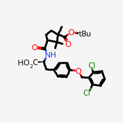 CC(C)(C)OC(=O)C1(C)CCC(C(=O)N[C@@H](Cc2ccc(OCc3c(Cl)cccc3Cl)cc2)C(=O)O)C1(C)C